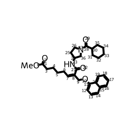 COC(=O)CCCCC=C(COc1cccc2ccccc12)C(=O)NC1CCN(C(=O)C2CCCCC2)C1